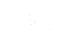 C[C@]12OC[C@H](Oc3ccc([N+](=O)[O-])cc3Cl)[C@H]1OC[C@@H]2O